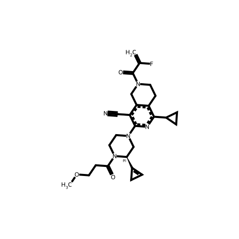 C=C(F)C(=O)N1CCc2c(C3CC3)nc(N3CCN(C(=O)CCOC)[C@H](C4=CC4)C3)c(C#N)c2C1